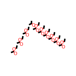 CC(C)=O.CCOC(C)=O.CCOC(C)=O.CCOC(C)=O.CCOC(C)=O.CCOC(C)=O.CCOC(C)=O.CCOC(C)=O.CCOC(C)=O.CCOC(C)=O